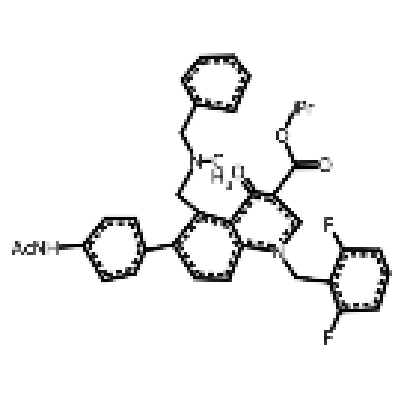 CC(=O)Nc1ccc(-c2ccc3c(c2CN(C)Cc2ccccc2)c(=O)c(C(=O)OC(C)C)cn3Cc2c(F)cccc2F)cc1